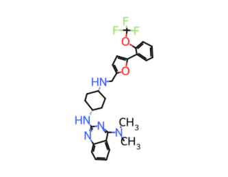 CN(C)c1nc(N[C@H]2CC[C@@H](NCc3ccc(-c4ccccc4OC(F)(F)F)o3)CC2)nc2ccccc12